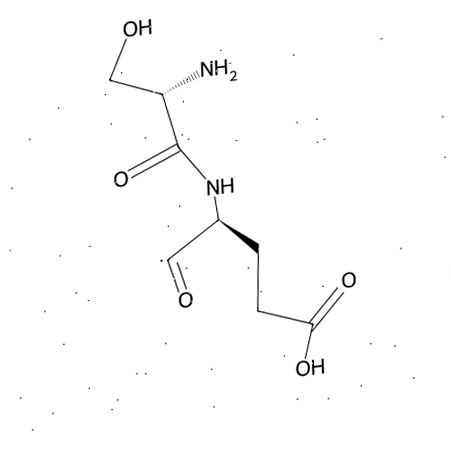 N[C@@H](CO)C(=O)N[C@H]([C]=O)CCC(=O)O